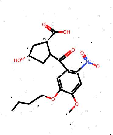 CCCCOc1cc(C(=O)C2C[C@H](O)C[C@H]2C(=O)O)c([N+](=O)[O-])cc1OC